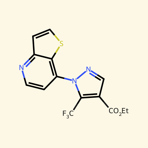 CCOC(=O)c1cnn(-c2ccnc3ccsc23)c1C(F)(F)F